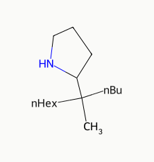 CCCCCCC(C)(CCCC)C1CCCN1